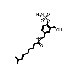 CC(C)/C=C/CCCCC(=O)NCc1ccc(OS(N)(=O)=O)c(CO)c1